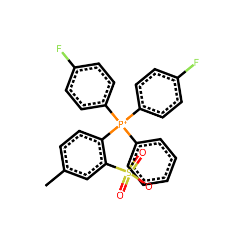 Cc1ccc([P+](c2ccccc2)(c2ccc(F)cc2)c2ccc(F)cc2)c(S(=O)(=O)[O-])c1